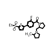 CCS(=O)(=O)c1ccc(-c2ccc(C(=O)N3CCCC3CN3CCCC3C)c(F)c2)s1